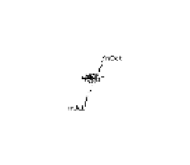 CCCCCCCCC=CCCCCCCCC(=O)OC(=O)CCCCCCC/C=C\CCCCCCCC.N.O=S(=O)(O)O